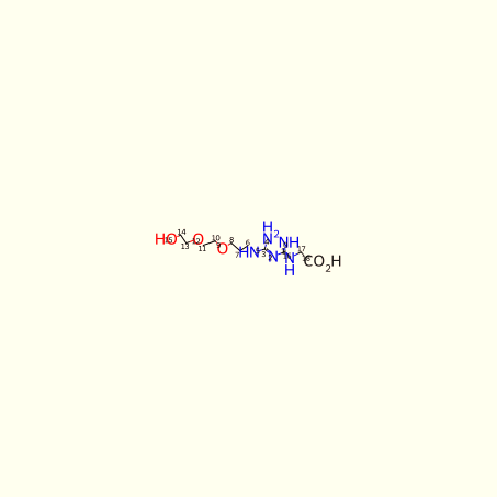 N=C(/N=C(\N)NCCCOCCOCCO)NCC(=O)O